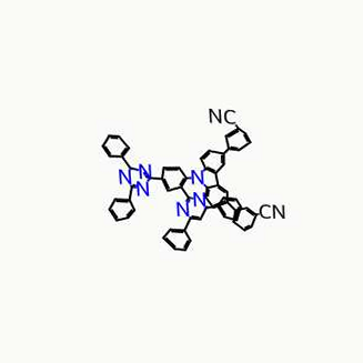 N#Cc1cccc(-c2ccc3c(c2)c2cc(-c4cccc(C#N)c4)ccc2n3-c2ccc(-c3nc(-c4ccccc4)nc(-c4ccccc4)n3)cc2-c2nc(-c3ccccc3)cc(-c3ccccc3)n2)c1